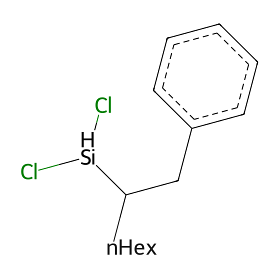 CCCCCCC(Cc1ccccc1)[SiH](Cl)Cl